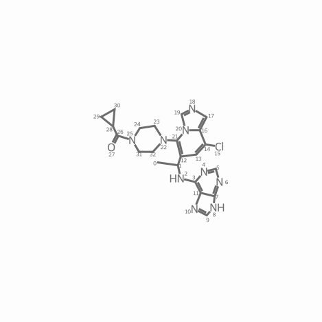 CC(Nc1ncnc2[nH]cnc12)c1cc(Cl)c2cncn2c1N1CCN(C(=O)C2CC2)CC1